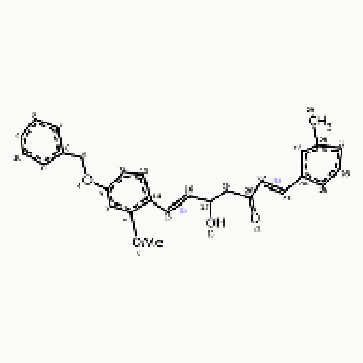 COc1cc(OCc2ccccc2)ccc1/C=C/C(O)CC(=O)/C=C/c1cccc(C)c1